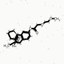 COCCOCC(=O)Oc1ccc2c(c1)[C@@]13CCCC[C@H]1[C@@H](C2)N(C)CC3